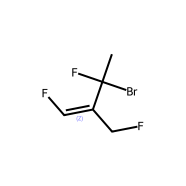 CC(F)(Br)/C(=C\F)CF